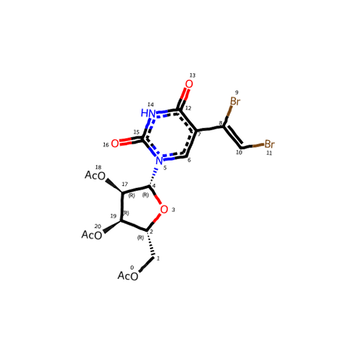 CC(=O)OC[C@H]1O[C@@H](n2cc(C(Br)=CBr)c(=O)[nH]c2=O)[C@H](OC(C)=O)[C@@H]1OC(C)=O